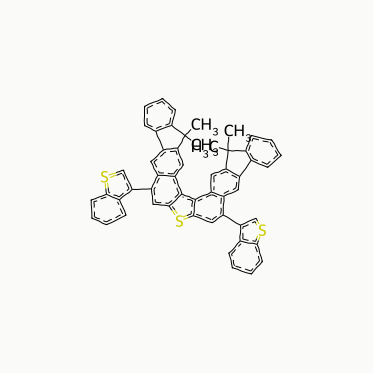 CC1(C)c2ccccc2-c2cc3c(-c4csc5ccccc45)cc4sc5cc(-c6csc7ccccc67)c6cc7c(cc6c5c4c3cc21)C(C)(C)c1ccccc1-7